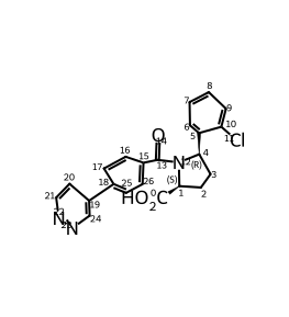 O=C(O)[C@@H]1CC[C@H](c2ccccc2Cl)N1C(=O)c1ccc(-c2ccnnc2)cc1